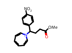 COC(=O)[CH]CC(c1ccc([N+](=O)[O-])cc1)N1C=CC=CC=C1